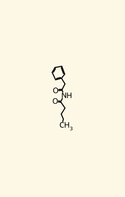 CCCCC(=O)NC(=O)Cc1ccccc1